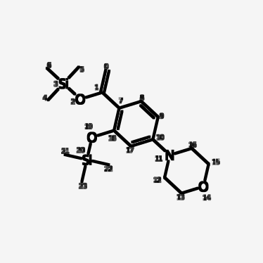 C=C(O[Si](C)(C)C)c1ccc(N2CCOCC2)cc1O[Si](C)(C)C